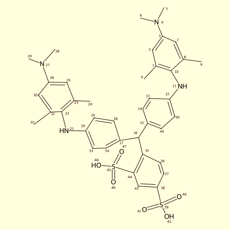 Cc1cc(N(C)C)cc(C)c1Nc1ccc(C(c2ccc(Nc3c(C)cc(N(C)C)cc3C)cc2)c2ccc(S(=O)(=O)O)cc2S(=O)(=O)O)cc1